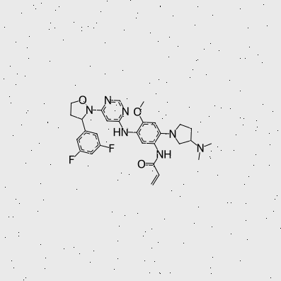 C=CC(=O)Nc1cc(Nc2cc(N3OCCC3c3cc(F)cc(F)c3)ncn2)c(OC)cc1N1CCC(N(C)C)C1